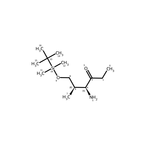 CCC(=O)[C@@H](N)[C@@H](C)CO[Si](C)(C)C(C)(C)C